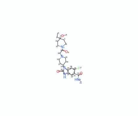 CCC1(OC)CCN(C(=O)CN2CCC(n3c(=O)[nH]c4cc(C(=O)NC)c(F)cc43)CC2)CC1